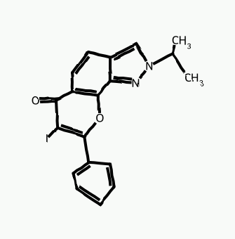 CC(C)n1cc2ccc3c(=O)c(I)c(-c4ccccc4)oc3c2n1